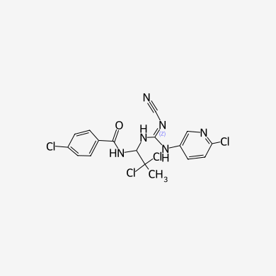 CC(Cl)(Cl)C(NC(=O)c1ccc(Cl)cc1)N/C(=N\C#N)Nc1ccc(Cl)nc1